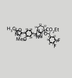 CCOC(=O)C1(OCc2ccc(F)c(F)c2)CCCn2c(-c3ccc(-c4cnc(C)o4)c(OC)c3)nnc21